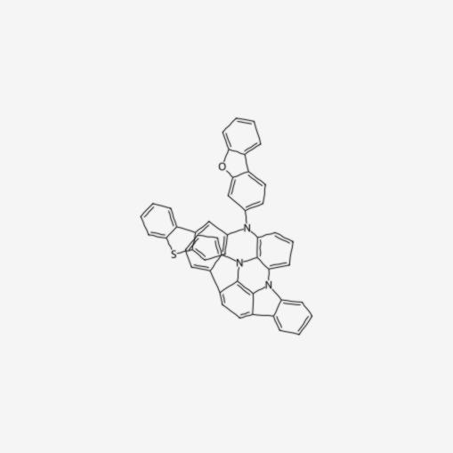 c1ccc2c(c1)oc1cc(N(c3ccc4sc5ccccc5c4c3)c3cccc4c3n3c5ccccc5c5ccc6c7ccccc7n4c6c53)ccc12